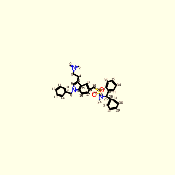 CN(C)CCc1cn(Cc2ccccc2)c2ccc(CS(=O)(=O)N(C)C(c3ccccc3)c3ccccc3)cc12